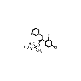 COC(C)(C)ON=C(Cc1cccnc1)c1ccc(Cl)cc1F